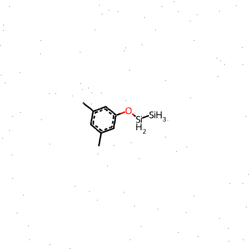 Cc1cc(C)cc(O[SiH2][SiH3])c1